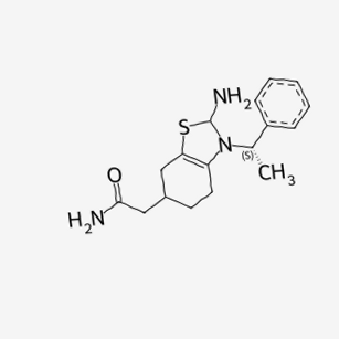 C[C@@H](c1ccccc1)N1C2=C(CC(CC(N)=O)CC2)SC1N